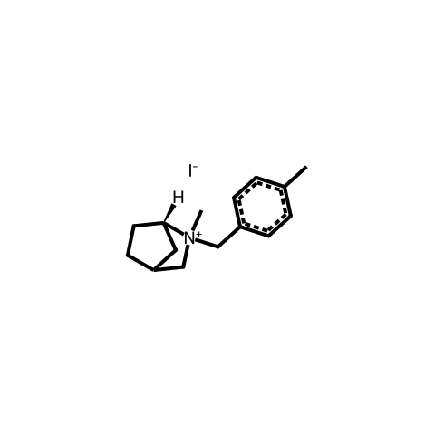 Cc1ccc(C[N+]2(C)CC3CC[C@H]2C3)cc1.[I-]